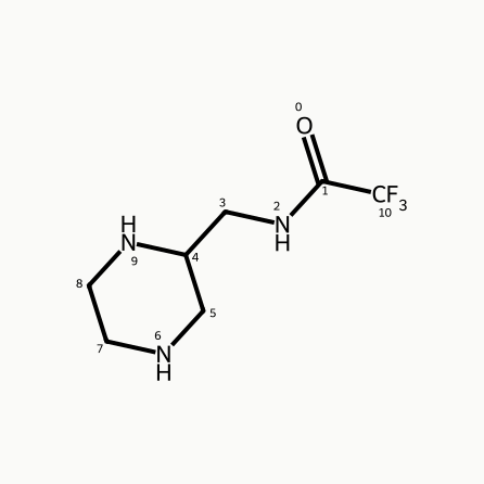 O=C(NCC1CNCCN1)C(F)(F)F